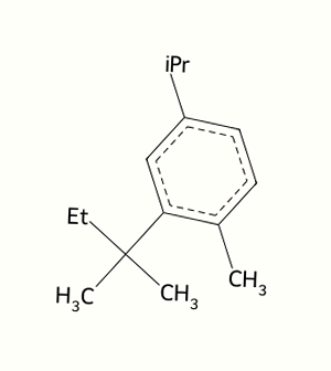 CCC(C)(C)c1cc(C(C)C)ccc1C